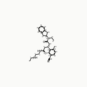 CCNCCNC(=O)CN(CC(=O)N(CC)C1Cc2ccccc2C1)c1cc(C#N)ccc1C